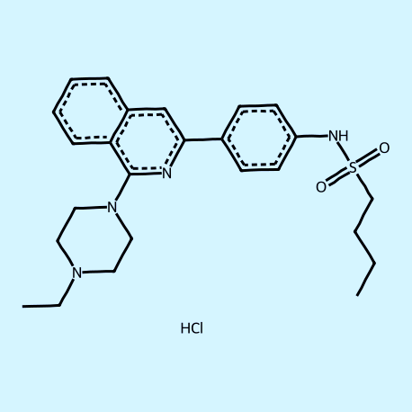 CCCCS(=O)(=O)Nc1ccc(-c2cc3ccccc3c(N3CCN(CC)CC3)n2)cc1.Cl